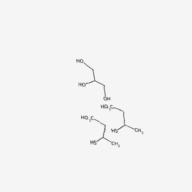 CC(S)CC(=O)O.CC(S)CC(=O)O.OCC(O)CO